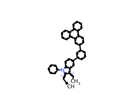 C#C/C=c1\c(=C/C)c2cc(-c3cccc(-c4ccc5c6ccccc6c6ccccc6c5c4)c3)ccc2n1-c1ccccc1